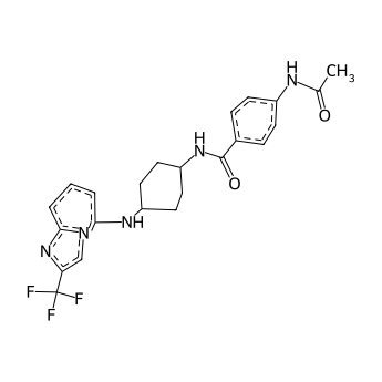 CC(=O)Nc1ccc(C(=O)NC2CCC(Nc3cccc4nc(C(F)(F)F)cn34)CC2)cc1